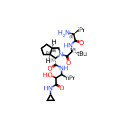 CCCC(NC(=O)[C@@H]1[C@H]2CCC[C@H]2CN1C(=O)[C@H](NC(=O)[C@@H](N)C(C)C)C(C)(C)C)C(O)C(=O)NC1CC1